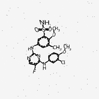 COc1ccc(Nc2nc(Nc3cc(C)c(OC)c(S(N)(=O)=O)c3)ncc2F)cc1Cl